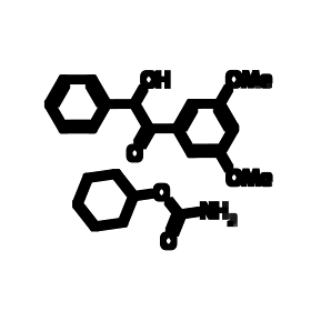 COc1cc(OC)cc(C(=O)C(O)c2ccccc2)c1.NC(=O)OC1CCCCC1